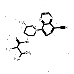 CC(C)C(C)C(=O)N[C@@H]1C[C@H](C)CN(c2ccc(C#N)c3nccnc23)C1